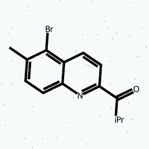 Cc1ccc2nc(C(=O)C(C)C)ccc2c1Br